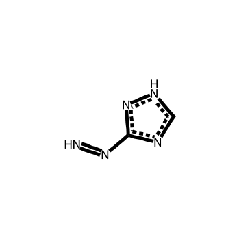 N=Nc1nc[nH]n1